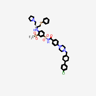 O=C(NS(=O)(=O)c1ccc(N[C@H](CCN2CCCC2)CSc2ccccc2)c(S(=O)(=O)C(F)(F)F)c1)c1ccc(N2CCN(CC3=CCC(c4ccc(Cl)cc4)CC3)CC2)cc1